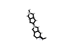 C/C=C1/CCC2CN(C3CC4CN(C)CC4C3)CC2C1